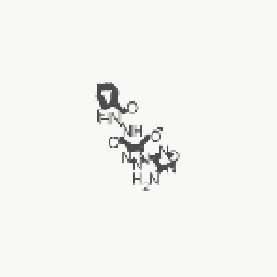 COCc1c(C(=O)NNC(=O)c2ccccc2F)nnn1-c1nonc1N